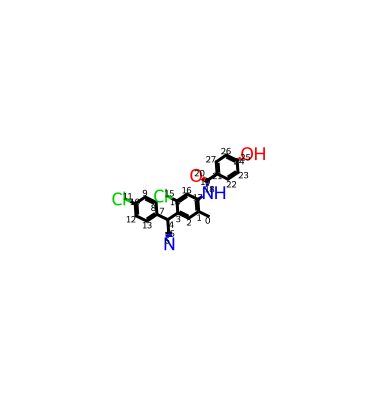 Cc1cc(C(C#N)c2ccc(Cl)cc2)c(Cl)cc1NC(=O)c1ccc(O)cc1